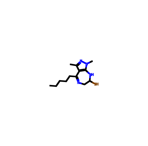 CCCCCC1=NCC(S)Nc2c1c(C)nn2C